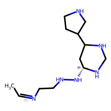 C/C=N\CCNN[C@@H]1CC(C2CCNC2)NCN1